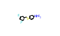 Nc1ccc(SCc2cc(F)cc(F)c2)cc1